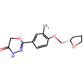 O=C1COC(c2ccc(OC[C@@H]3CCCO3)c(C(F)(F)F)c2)=NN1